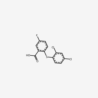 O=C(O)c1cc(F)ccc1Sc1ccc(Cl)cc1Cl